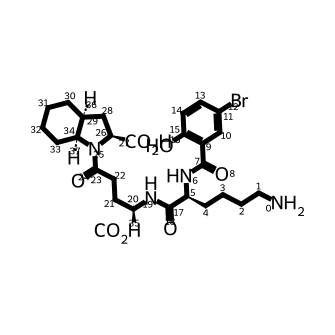 NCCCC[C@H](NC(=O)c1cc(Br)ccc1O)C(=O)N[C@H](CCC(=O)N1[C@H](C(=O)O)C[C@@H]2CCCC[C@@H]21)C(=O)O